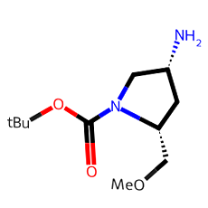 COC[C@H]1C[C@@H](N)CN1C(=O)OC(C)(C)C